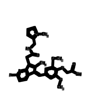 COc1cc(C=C2C(C)=C(CC(=O)NCc3cccn3C)c3nc(F)ccc32)cc(OC)c1OCC(=O)O